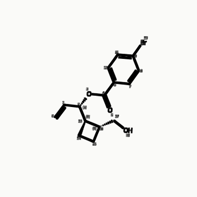 C=C[C@H](OC(=O)c1ccc(Br)cc1)[C@@H]1CC[C@H]1CO